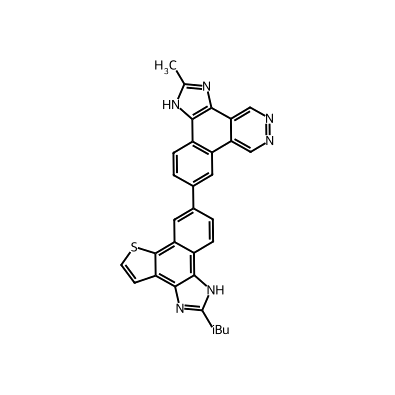 CCC(C)c1nc2c3ccsc3c3cc(-c4ccc5c(c4)c4cnncc4c4nc(C)[nH]c54)ccc3c2[nH]1